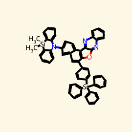 C[Si]1(C)c2ccccc2N(c2ccc3c(c2)cc(-c2ccc([Si](c4ccccc4)(c4ccccc4)c4ccccc4)cc2)c2oc4nc5ccccc5nc4c23)c2ccccc21